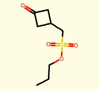 CCCOS(=O)(=O)CC1CC(=O)C1